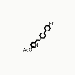 CC[C@H]1CC[C@H]([C@H]2CC[C@H](CCc3ccc(OC(C)=O)cn3)CC2)CC1